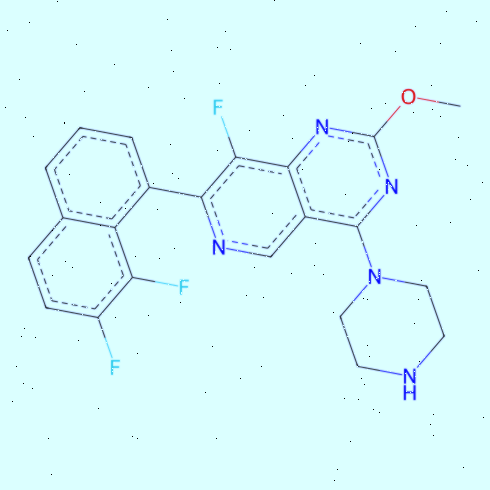 COc1nc(N2CCNCC2)c2cnc(-c3cccc4ccc(F)c(F)c34)c(F)c2n1